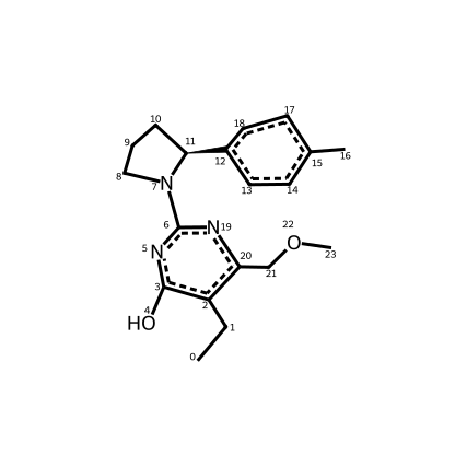 CCc1c(O)nc(N2CCC[C@H]2c2ccc(C)cc2)nc1COC